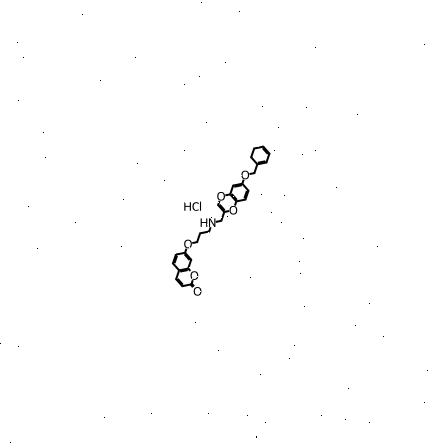 Cl.O=c1ccc2ccc(OCCCNCC3=COc4cc(OCC5=CC=CCC5)ccc4O3)cc2o1